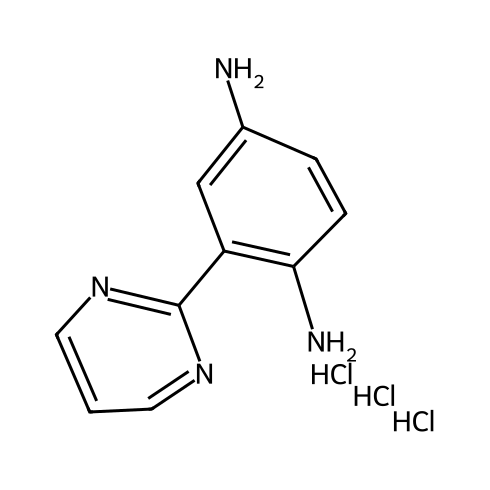 Cl.Cl.Cl.Nc1ccc(N)c(-c2ncccn2)c1